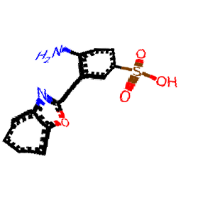 Nc1ccc(S(=O)(=O)O)cc1-c1nc2ccccc2o1